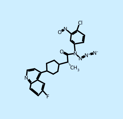 C[C@@H](C(=O)N(N=[N+]=[N-])c1ccc(Cl)c(N=O)c1)C1CCC(c2ccnc3ccc(F)cc23)CC1